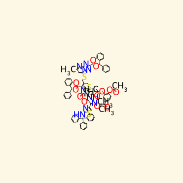 CC(=O)Oc1ccc(C(=O)C(C)(C)ON=C(C(=O)N[C@@H]2C(=O)N3C(C(=O)OC(c4ccccc4)c4ccccc4)=C(CSc4cc(C)nc5nc(C(=O)OC(c6ccccc6)c6ccccc6)nn45)CS[C@H]23)c2csc(NC(c3ccccc3)(c3ccccc3)c3ccccc3)n2)cc1OC(C)=O